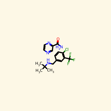 CC(C)(C)NCc1ccc(Cl)c(C(F)(F)F)c1.NC(=O)c1cnccn1